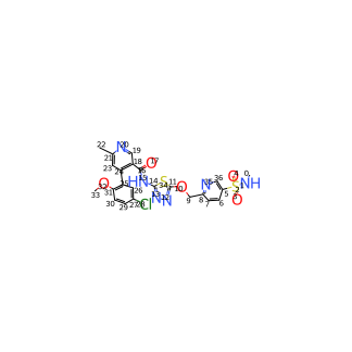 CNS(=O)(=O)c1ccc(COc2nnc(NC(=O)c3cnc(C)cc3-c3cc(Cl)ccc3OC)s2)nc1